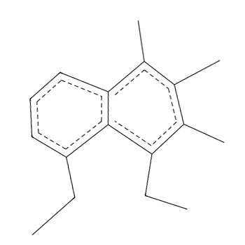 CCc1cccc2c(C)c(C)c(C)c(CC)c12